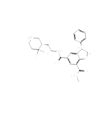 CNC(=O)c1cc(C(=O)NCC[C@@H]2CNCCC2(F)F)cc2c1O[C@@H](C)[C@@H]2c1ccccc1